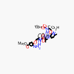 COC(=O)c1ccc(OC[C@H](NC(=O)OC(C)(C)CNc2ccc(C)nc2OC[C@H](NC(=O)OC(C)(C)C)C(=O)O)C(=O)O)c(N)c1